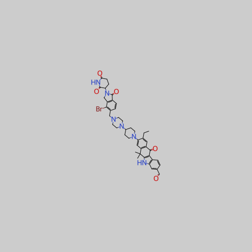 CCc1cc2c(cc1N1CCC(N3CCN(Cc4ccc5c(c4Br)CN(C4CCC(=O)NC4=O)C5=O)CC3)CC1)C(C)(C)c1[nH]c3cc(C=O)ccc3c1C2=O